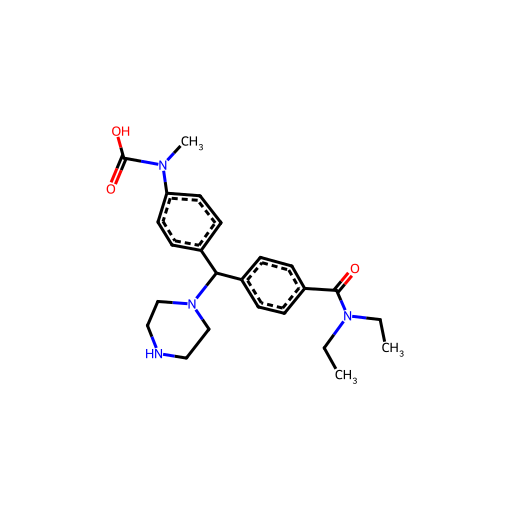 CCN(CC)C(=O)c1ccc(C(c2ccc(N(C)C(=O)O)cc2)N2CCNCC2)cc1